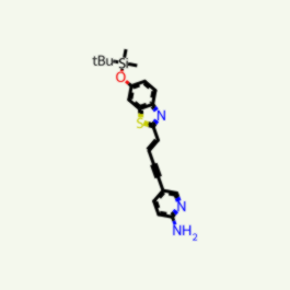 CC(C)(C)[Si](C)(C)Oc1ccc2nc(C=CC#Cc3ccc(N)nc3)sc2c1